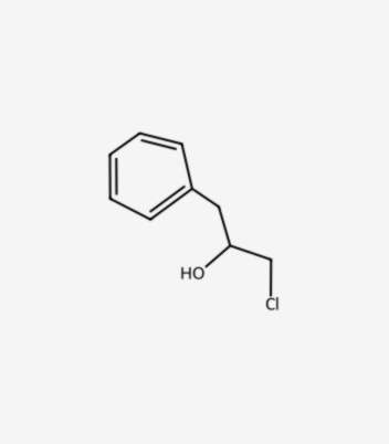 OC(CCl)Cc1ccccc1